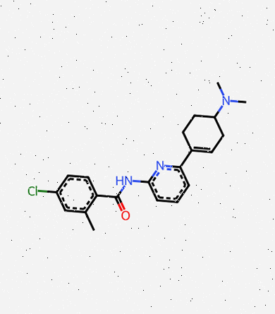 Cc1cc(Cl)ccc1C(=O)Nc1cccc(C2=CCC(N(C)C)CC2)n1